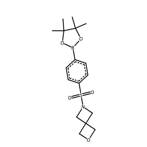 CC1(C)OB(c2ccc(S(=O)(=O)N3CC4(COC4)C3)cc2)OC1(C)C